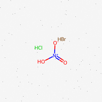 Br.Cl.O=[N+]([O-])O